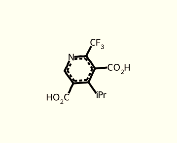 CC(C)c1c(C(=O)O)cnc(C(F)(F)F)c1C(=O)O